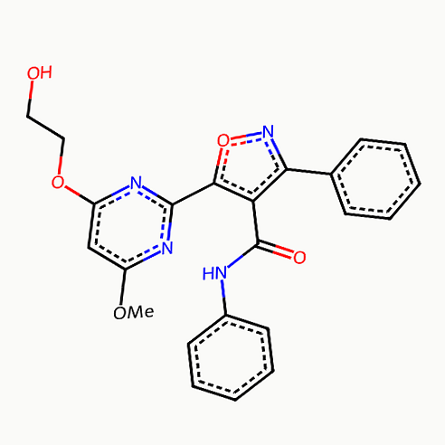 COc1cc(OCCO)nc(-c2onc(-c3ccccc3)c2C(=O)Nc2ccccc2)n1